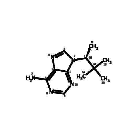 C[C@H](n1cnc2c(N)ncnc21)C(C)(C)C